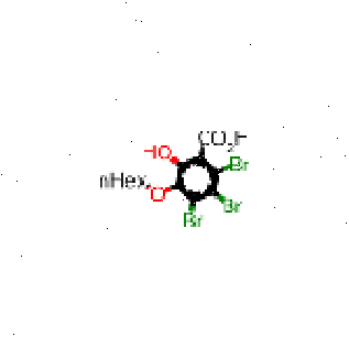 CCCCCCOc1c(O)c(C(=O)O)c(Br)c(Br)c1Br